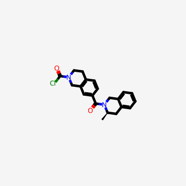 C[C@@H]1Cc2ccccc2CN1C(=O)c1ccc2c(c1)CN(C(=O)Cl)CC2